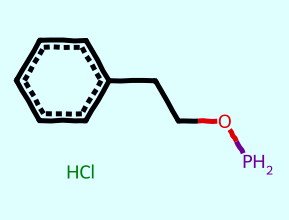 Cl.POCCc1ccccc1